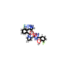 COc1c(F)cccc1-c1noc([C@@H]2CCCN2C(=O)c2cccc(F)c2-c2ccn[nH]2)n1